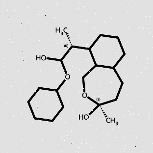 C[C@@H](C(O)OC1CCCCC1)C1CCCC2CC[C@@](C)(O)OCC21